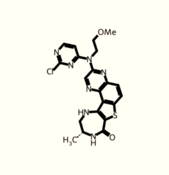 COCCN(c1ccnc(Cl)n1)c1cnc2c(ccc3sc4c(c32)NC[C@@H](C)NC4=O)n1